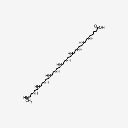 CNCCNCCNCCNCCNCCNCCNCCNCCNCCNCCNCCNCCCCC(=O)O